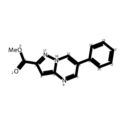 COC(=O)c1cc2ncc(-c3ccccc3)cn2n1